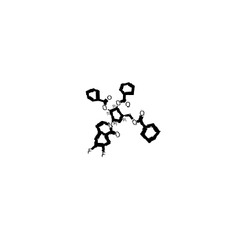 O=C(OC[C@H]1C[C@@H](n2ccc3cc(F)c(F)cc3c2=O)[C@H](OC(=O)c2ccccc2)[C@@H]1OC(=O)c1ccccc1)c1ccccc1